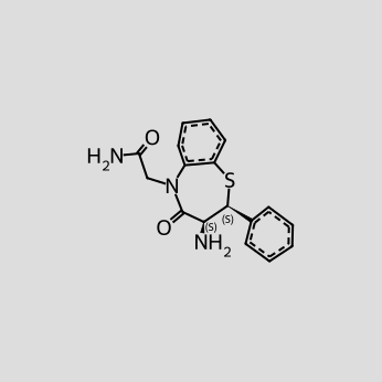 NC(=O)CN1C(=O)[C@H](N)[C@H](c2ccccc2)Sc2ccccc21